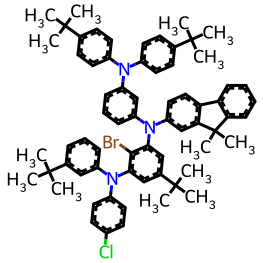 CC(C)(C)c1ccc(N(c2ccc(C(C)(C)C)cc2)c2cccc(N(c3ccc4c(c3)C(C)(C)c3ccccc3-4)c3cc(C(C)(C)C)cc(N(c4ccc(Cl)cc4)c4cccc(C(C)(C)C)c4)c3Br)c2)cc1